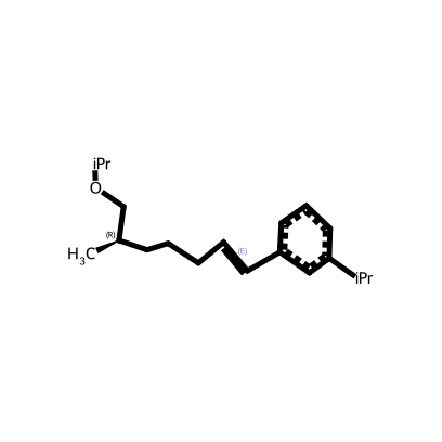 CC(C)OC[C@H](C)CCC/C=C/c1cccc(C(C)C)c1